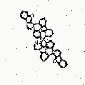 c1ccc([Si](c2ccccc2)(c2cccc3c2oc2c(-c4nccc5c4oc4ccccc45)cccc23)c2nccc3c2sc2c(-c4nccc5c4oc4ccccc45)cccc23)cc1